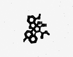 COC(=O)[C@H]1[C@@H](O)[C@@]2(O)c3c(OC)cncc3O[C@@]2(c2ccc(I)cc2)[C@H]1c1ccccc1